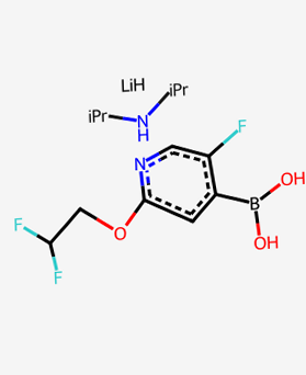 CC(C)NC(C)C.OB(O)c1cc(OCC(F)F)ncc1F.[LiH]